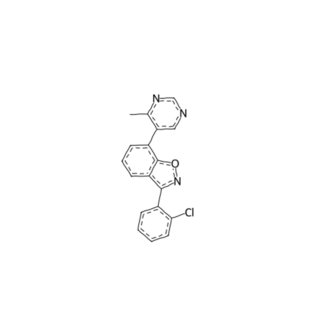 Cc1ncncc1-c1cccc2c(-c3ccccc3Cl)noc12